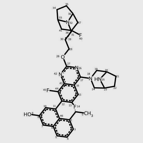 CCc1cccc2cc(O)cc(-c3c(F)cc4c(N5CC6CCC(C5)N6)nc(OCCCN5C6CCC5CC(F)(F)C6)nc4c3F)c12